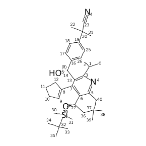 CC(C)c1nc2c(c(C3=CCCC3)c1[C@H](O)c1ccc(C(C)(C)C#N)cc1)C(O[Si](C)(C)C(C)(C)C)CC(C)(C)C2